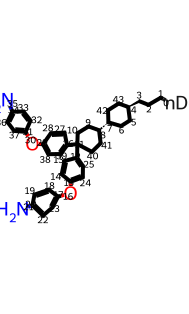 CCCCCCCCCCCCC[C@H]1CC[C@H](C2CCC(c3ccc(Oc4ccc(N)cc4)cc3)(c3ccc(Oc4ccc(N)cc4)cc3)CC2)CC1